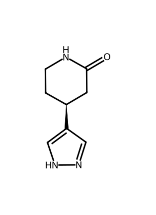 O=C1C[C@@H](c2cn[nH]c2)CCN1